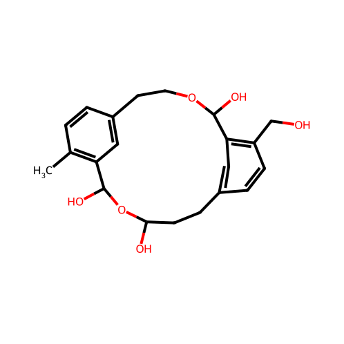 Cc1ccc2cc1C(O)OC(O)CCc1ccc(CO)c(c1)C(O)OCC2